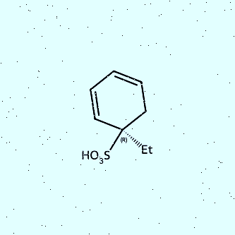 CC[C@]1(S(=O)(=O)O)C=CC=CC1